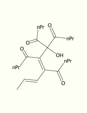 CC=CC(C(=O)CCC)=C(C(=O)CCC)C(O)(C(=O)CCC)C(=O)CCC